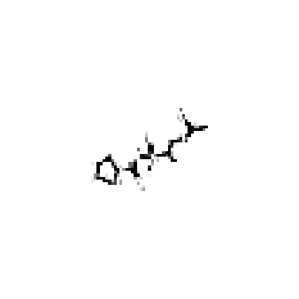 CC(=O)SCC(C)S(=O)(=O)OC(=O)[C@@H]1CCCN1